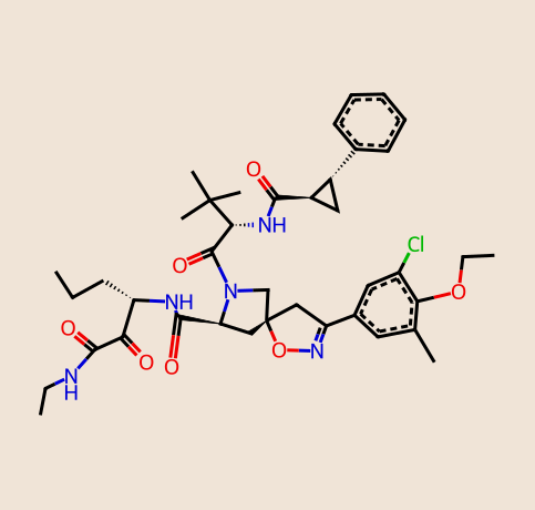 CCC[C@H](NC(=O)[C@@H]1C[C@]2(CC(c3cc(C)c(OCC)c(Cl)c3)=NO2)CN1C(=O)[C@@H](NC(=O)[C@@H]1C[C@H]1c1ccccc1)C(C)(C)C)C(=O)C(=O)NCC